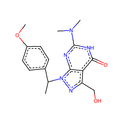 COc1ccc(C(C)n2nc(CO)c3c(=O)[nH]c(N(C)C)nc32)cc1